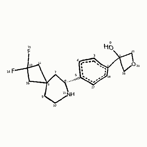 OC1(c2ccc([C@H]3CC4(CCN3)CC(F)(F)C4)cc2)COC1